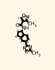 Cc1nc(-c2ccc3c(c2)CCC3NC(=O)c2conc2C)no1